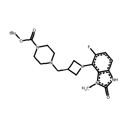 Cn1c(=O)[nH]c2ccc(F)c(N3CC(CN4CCN(C(=O)OC(C)(C)C)CC4)C3)c21